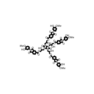 COc1ccc(N2C(=O)c3ccc(C(=O)OCC(O)CN4C(=O)N(CC(O)COC(=O)c5ccc6c(c5)C(=O)N(c5ccc(OC)c(O)c5)C6=O)C5C4N(CC(O)COC(=O)c4ccc6c(c4)C(=O)N(c4ccc(OC)c(O)c4)C6=O)C(=O)N5CC(O)COC(=O)c4ccc5c(c4)C(=O)N(c4ccc(OC)c(O)c4)C5=O)cc3C2=O)cc1O